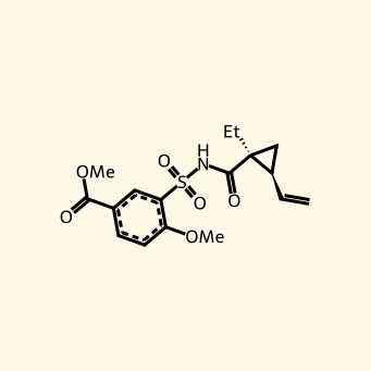 C=C[C@@H]1C[C@]1(CC)C(=O)NS(=O)(=O)c1cc(C(=O)OC)ccc1OC